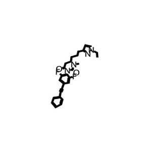 CCn1ccc(CCCC2CC(=O)N(c3c(F)cc(C#Cc4ccccc4)cc3F)C(=O)N2C)n1